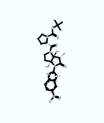 C[C@@H]1C(=O)N(c2nc3ccc([N+](=O)[O-])cc3s2)[C@H]2CCN(C(=O)[C@@H]3CCCN3C(=O)OC(C)(C)C)[C@H]12